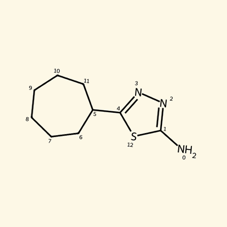 Nc1nnc(C2CCCCCC2)s1